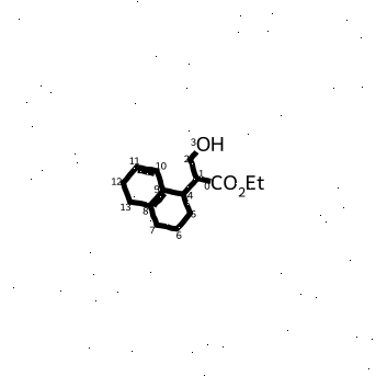 CCOC(=O)C(CO)C1CCCC2=C1C=CCC2